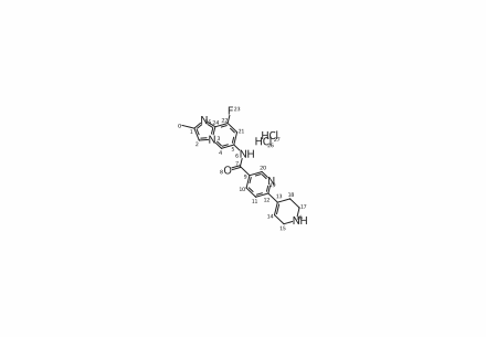 Cc1cn2cc(NC(=O)c3ccc(C4=CCNCC4)nc3)cc(F)c2n1.Cl.Cl